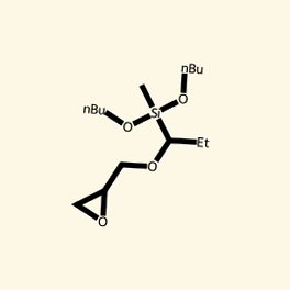 CCCCO[Si](C)(OCCCC)C(CC)OCC1CO1